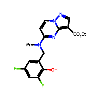 CCOC(=O)c1cnn2ccc(N(Cc3cc(F)cc(F)c3O)C(C)C)nc12